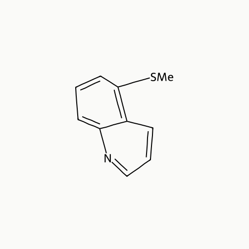 CSc1cccc2ncccc12